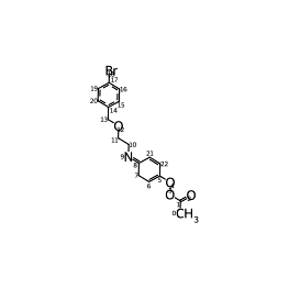 CC(=O)OOC1=CCC(=NCCOCc2ccc(Br)cc2)C=C1